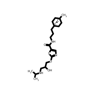 CC(C)NCC(O)COc1ncc(C(=O)NCCCC23CCC(C)(CC2)CC3)s1